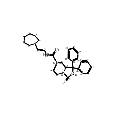 O=C(NCCN1CCCCCC1)N1CCN2C(=O)OC(c3ccccc3)(c3ccccc3)C2C1